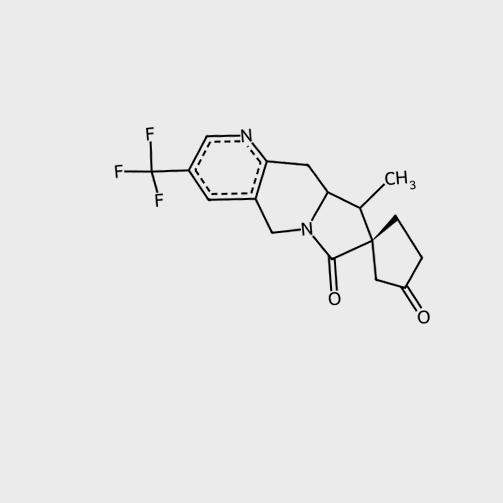 CC1C2Cc3ncc(C(F)(F)F)cc3CN2C(=O)[C@]12CCC(=O)C2